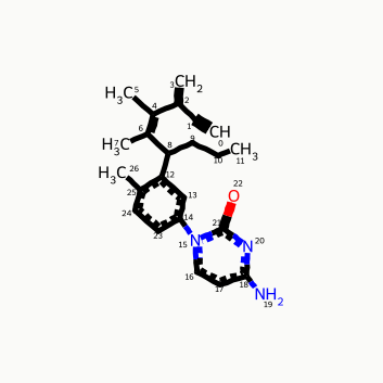 C#CC(=C)/C(C)=C(/C)C(CCC)c1cc(-n2ccc(N)nc2=O)ccc1C